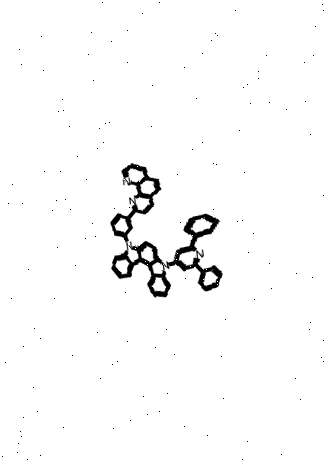 C1=CC2C=Cc3ccc(-c4cccc(-n5c6ccccc6c6c7c8ccccc8n(-c8cc(-c9ccccc9)nc(-c9ccccc9)c8)c7ccc65)c4)nc3C2N=C1